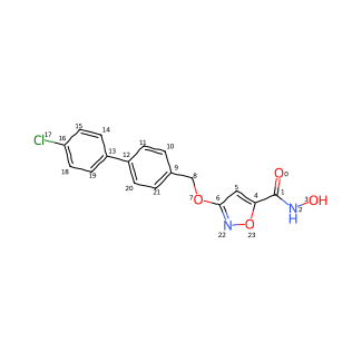 O=C(NO)c1cc(OCc2ccc(-c3ccc(Cl)cc3)cc2)no1